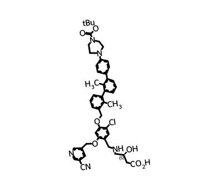 Cc1c(COc2cc(OCc3cncc(C#N)c3)c(CNC[C@@H](O)CC(=O)O)cc2Cl)cccc1-c1cccc(-c2ccc(N3CCN(C(=O)OC(C)(C)C)CC3)cc2)c1C